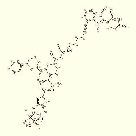 CC(C)(C)[C@H](NC(=O)c1cc2cc(C(F)(F)P(=O)(O)O)ccc2s1)C(=O)N1CCN(C(=O)CC(=O)NCCCCC#Cc2cccc3c2C(=O)N(C2CCC(=O)NC2=O)C3=O)C[C@H]1C(=O)N1CCCC(c2ccccc2)C1